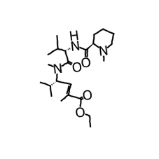 CCOC(=O)/C(C)=C/[C@H](C(C)C)N(C)C(=O)[C@@H](NC(=O)[C@H]1CCCCN1C)C(C)C